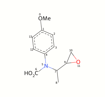 COc1ccc(N(C(=O)O)C(C)C2CO2)cc1